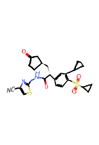 N#Cc1csc(NC(=O)[C@H](C[C@H]2CCC(=O)C2)c2ccc(S(=O)(=O)C3CC3)c(C3CC3)c2)n1